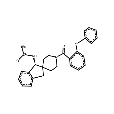 CC(C)(C)[S+]([O-])N[C@@H]1c2ccccc2CC12CCN(C(=O)c1ccccc1Oc1ccccc1)CC2